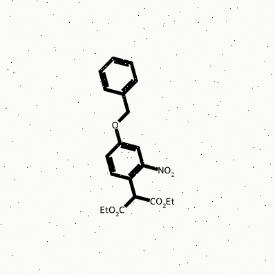 CCOC(=O)C(C(=O)OCC)c1ccc(OCc2ccccc2)cc1[N+](=O)[O-]